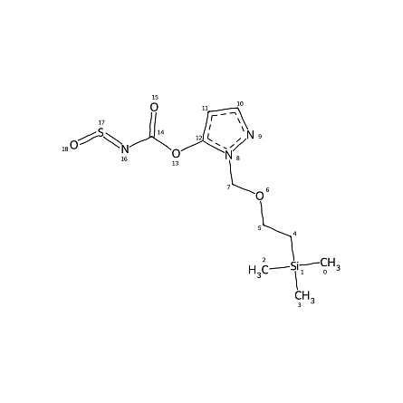 C[Si](C)(C)CCOCn1nccc1OC(=O)N=S=O